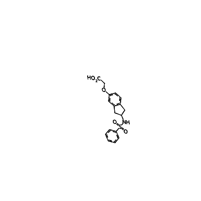 O=C(O)COc1ccc2c(c1)CC(NS(=O)(=O)c1ccccc1)C2